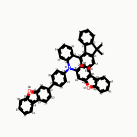 CC1(C)c2ccccc2-c2c(-c3ccccc3N(c3ccc(-c4ccc5c(c4)oc4ccccc45)cc3)c3ccc4c(c3)oc3ccccc34)cccc21